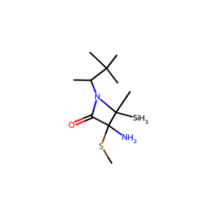 CSC1(N)C(=O)N(C(C)C(C)(C)C)C1(C)[SiH3]